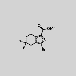 COC(=O)c1sc(Br)c2c1CCC(F)(F)C2